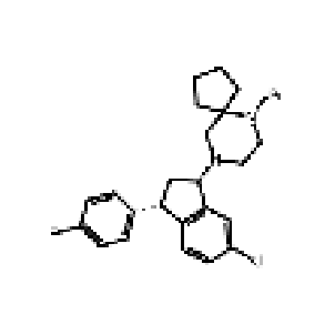 CC(C)N1CCN([C@@H]2C[C@@H](c3ccc(F)cc3)c3ccc(Cl)cc32)CC12CCCC2